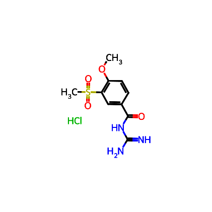 COc1ccc(C(=O)NC(=N)N)cc1S(C)(=O)=O.Cl